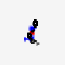 Cc1ccc(CNCCOc2cccc3[nH]c(C(F)(F)F)nc23)cc1